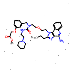 COCCc1nc2c(N)nc3ccccc3c2n1CCOCCN(Cc1cccc(OCC(=O)OC(C)C)c1)C(=O)NCCN1CCCCC1